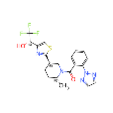 C[C@@H]1CC[C@@H](c2nc([C@H](O)C(F)(F)F)cs2)CN1C(=O)c1ccccc1-n1nccn1